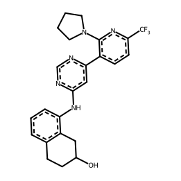 OC1CCc2cccc(Nc3cc(-c4ccc(C(F)(F)F)nc4N4CCCC4)ncn3)c2C1